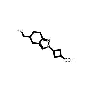 O=C(O)C1CC(n2cc3c(n2)CCC(CO)C3)C1